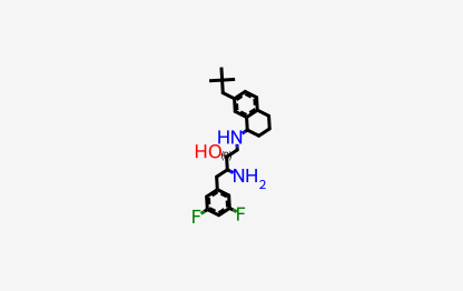 CC(C)(C)Cc1ccc2c(c1)C(NC[C@@H](O)C(N)Cc1cc(F)cc(F)c1)CCC2